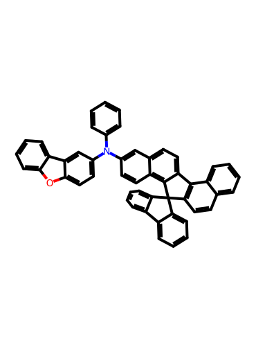 c1ccc(N(c2ccc3c4c(ccc3c2)-c2c(ccc3ccccc23)C42c3ccccc3-c3ccccc32)c2ccc3oc4ccccc4c3c2)cc1